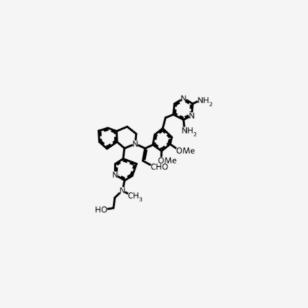 COc1cc(Cc2cnc(N)nc2N)cc(C(=CC=O)N2CCc3ccccc3C2c2ccc(N(C)CCO)nc2)c1OC